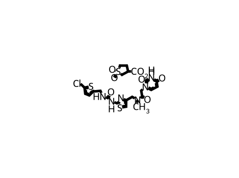 CN(Cc1csc(NC(=O)NCc2ccc(Cl)s2)n1)C(=O)Cn1ccc(=O)[nH]c1=O.O=C(O)C1CCS(=O)(=O)C1